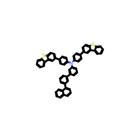 c1cc(-c2cccc(N(c3ccc(-c4ccc5sc6ccccc6c5c4)cc3)c3ccc(-c4ccc5sc6ccccc6c5c4)cc3)c2)cc(-c2cccc3ccccc23)c1